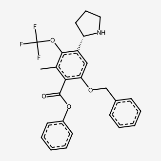 Cc1c(OC(F)(F)F)c([C@@H]2CCCN2)cc(OCc2ccccc2)c1C(=O)Oc1ccccc1